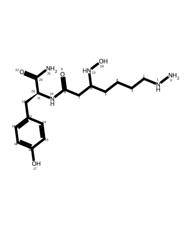 NNCCCCC(CC(=O)N[C@@H](Cc1ccc(O)cc1)C(N)=O)NO